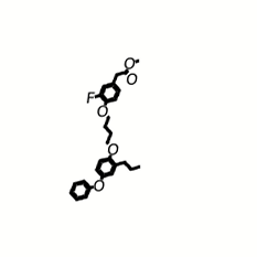 CCCc1cc(Oc2ccccc2)ccc1OCCCCOc1ccc(CC(=O)OC)cc1F